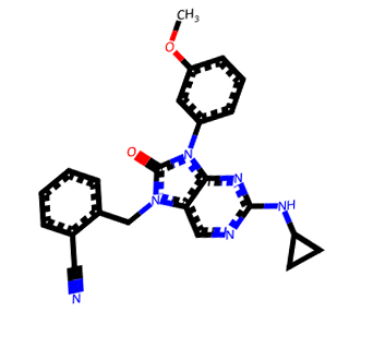 COc1cccc(-n2c(=O)n(Cc3ccccc3C#N)c3cnc(NC4CC4)nc32)c1